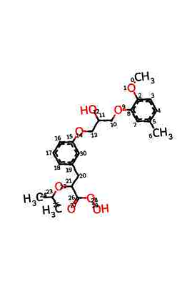 COc1ccc(C)cc1OCC(O)COc1cccc(CC(OC(C)C)C(=O)OO)c1